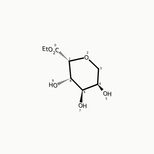 CCOC(=O)[C@@H]1OC[C@@H](O)[C@@H](O)[C@@H]1O